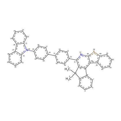 CC1(C)c2ccccc2-c2c1c(-c1ccc(-c3ccc(-n4c5ccccc5c5ccccc54)cc3)cc1)nc1sc3ccccc3c21